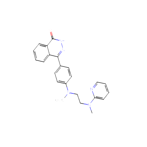 CN(CCN(C=O)c1ccc(-c2n[nH]c(=O)c3ccccc23)cc1)c1ccccn1